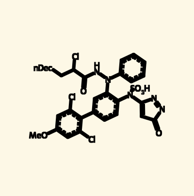 CCCCCCCCCCCC(Cl)C(=O)NN(c1ccccc1)c1cc(-c2c(Cl)cc(OC)cc2Cl)ccc1N(C1=CC(=O)N=N1)S(=O)(=O)O